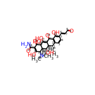 C[C@H]1c2ccc(/C=C/C=O)c(O)c2C(=O)C2=C(O)[C@]3(O)C(=O)C(C(N)=O)=C(O)[C@@H](N(C)C)[C@@H]3[C@@H](O)[C@@H]21